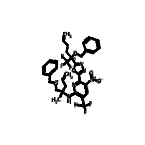 C=CCC[C@@](OCc1ccccc1)(c1nnc(-c2nc(NC(C)(CC=C)COCc3ccccc3)c(C(F)(F)F)cc2[N+](=O)[O-])o1)C(F)(F)F